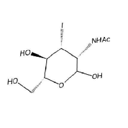 CC(=O)N[C@@H]1C(O)O[C@H](CO)[C@@H](O)[C@@H]1I